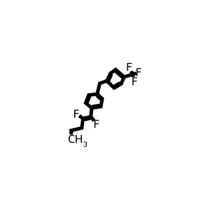 CCCC(F)=C(F)c1ccc(Cc2ccc(C(F)(F)F)cc2)cc1